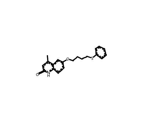 Cc1cc(=O)[nH]c2ccc(OCCCCSc3ccccc3)cc12